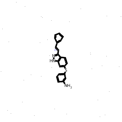 Nc1cccc(Sc2ccc3c(/C=C/c4ccccc4)n[nH]c3c2)c1